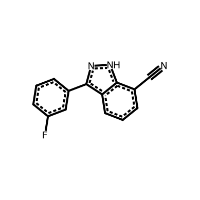 N#Cc1cccc2c(-c3cccc(F)c3)n[nH]c12